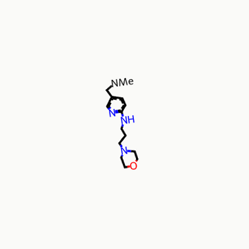 CNCc1ccc(NCCCN2CCOCC2)nc1